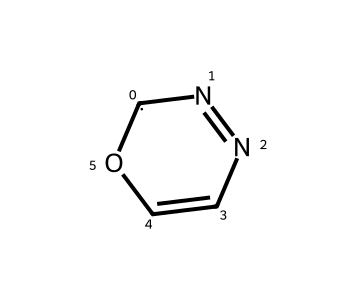 [C]1N=NC=CO1